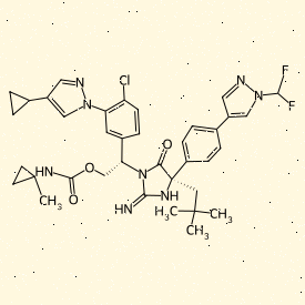 CC(C)(C)C[C@]1(c2ccc(-c3cnn(C(F)F)c3)cc2)NC(=N)N([C@H](COC(=O)NC2(C)CC2)c2ccc(Cl)c(-n3cc(C4CC4)cn3)c2)C1=O